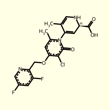 CC1=CN[C@@H](C(=O)O)C=C1n1c(C)cc(OCc2ncc(F)cc2F)c(Cl)c1=O